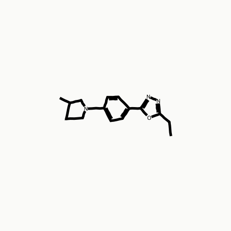 CCc1nnc(-c2ccc(N3CCC(C)C3)cc2)o1